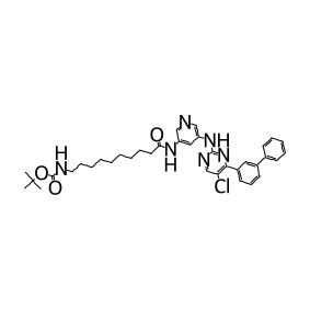 CC(C)(C)OC(=O)NCCCCCCCCCC(=O)Nc1cncc(Nc2ncc(Cl)c(-c3cccc(-c4ccccc4)c3)n2)c1